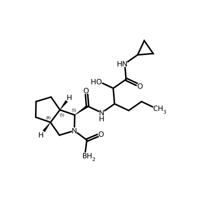 BC(=O)N1C[C@@H]2CCC[C@@H]2[C@H]1C(=O)NC(CCC)C(O)C(=O)NC1CC1